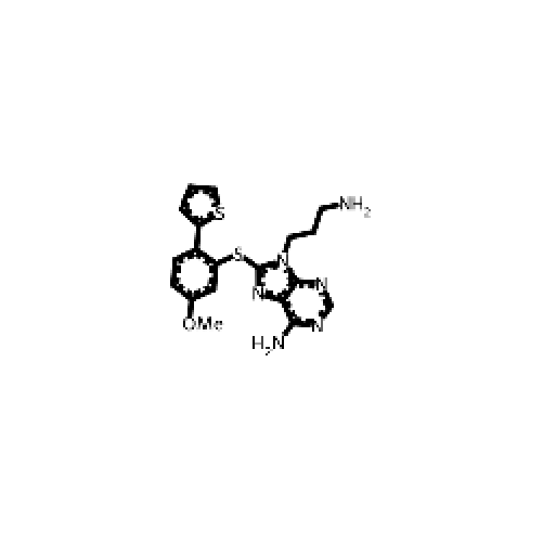 COc1ccc(-c2cccs2)c(Sc2nc3c(N)ncnc3n2CCCN)c1